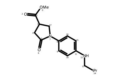 COC(=O)C1CC(=O)N(c2ccc(NCC(C)C)cc2)C1